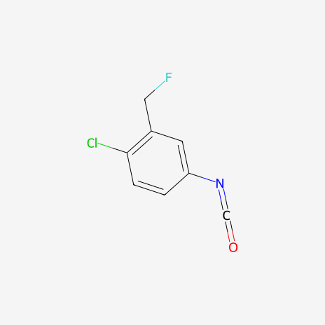 O=C=Nc1ccc(Cl)c(CF)c1